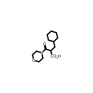 O=C(O)C(CC1CCCCC1)C(=O)N1CCOCC1